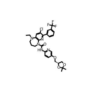 CCN1CCCN(C(=O)Nc2ccc(OC[C@H]3COC(C)(C)O3)cn2)c2nc(-c3cccc(C(F)(F)F)c3)c(Cl)cc21